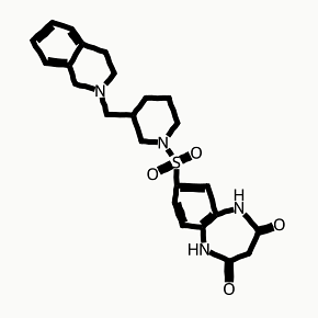 O=C1CC(=O)Nc2cc(S(=O)(=O)N3CCCC(CN4CCc5ccccc5C4)C3)ccc2N1